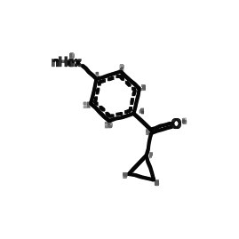 [CH2]CCCCCc1ccc(C(=O)C2CC2)cc1